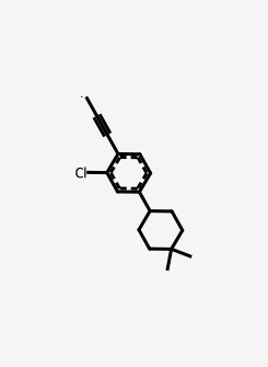 [CH2]C#Cc1ccc(C2CCC(C)(C)CC2)cc1Cl